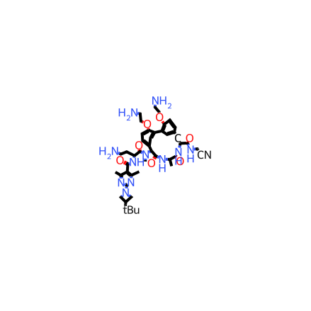 Cc1nc(N2CC(C(C)(C)C)C2)nc(C)c1C(=O)NC(CCN)C(=O)N(C)C1C(=O)NC(C)C(=O)NC(C(=O)NCC#N)Cc2ccc(OCCN)c(c2)-c2cc1ccc2OCCN